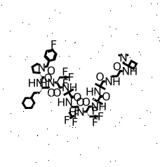 CN(C)CC1(NC(=O)CCNC(=O)C(C)(C)NC(=O)C(C)(C)NC(=O)[C@H](CC(F)(F)F)NC(=O)[C@H](CC(F)(F)F)NC(=O)C(C)(C)NC(=O)[C@H](CC(F)(F)F)NC(=O)[C@H](CCC2CCCCC2)NC(=O)[C@@H]2CCCN2C(=O)c2ccc(F)cc2)CCC1